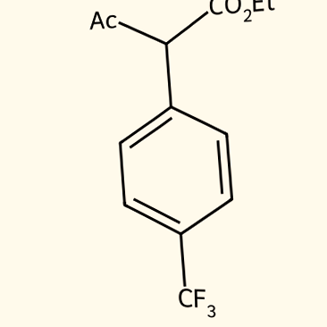 CCOC(=O)C(C(C)=O)c1ccc(C(F)(F)F)cc1